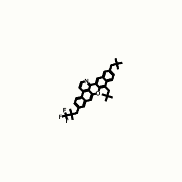 CC(C)(C)Cc1ccc2c(CC(C)(C)C)c3c(cc2c1)-c1nccc2c1c(cc1cc(CC(C)(C)C(F)(F)F)ccc12)O3